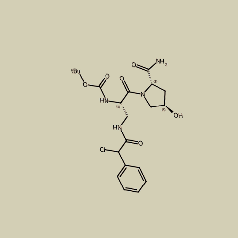 CC(C)(C)OC(=O)N[C@@H](CNC(=O)C(Cl)c1ccccc1)C(=O)N1C[C@H](O)C[C@H]1C(N)=O